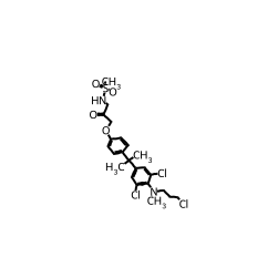 CN(CCCCl)c1c(Cl)cc(C(C)(C)c2ccc(OCC(=O)CNS(C)(=O)=O)cc2)cc1Cl